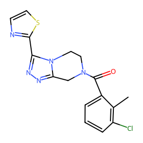 Cc1c(Cl)cccc1C(=O)N1CCn2c(nnc2-c2nccs2)C1